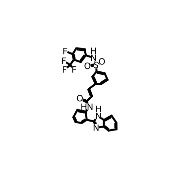 O=C(/C=C/c1cccc(S(=O)(=O)Nc2ccc(F)c(C(F)(F)F)c2)c1)Nc1ccccc1-c1nc2ccccc2[nH]1